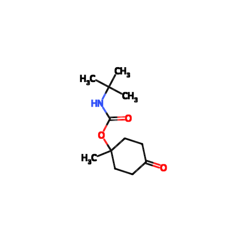 CC(C)(C)NC(=O)OC1(C)CCC(=O)CC1